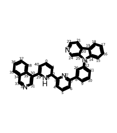 C1=CC(c2cccc(-c3cccc(-n4c5ccccc5c5ccncc54)c3)n2)NC(c2cncc3ccccc23)=C1